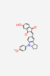 COc1ccc(N2c3ccc(/C=C4/C(=O)c5ccc(O)cc5C4=O)cc3C3CCCC32)cc1